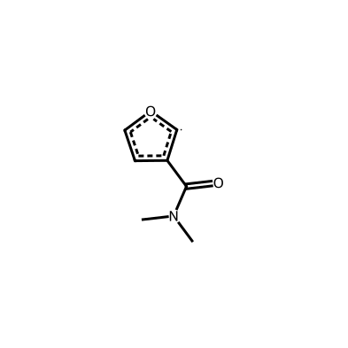 CN(C)C(=O)c1[c]occ1